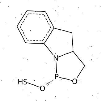 SO[P@@]1OCC2Cc3ccccc3N21